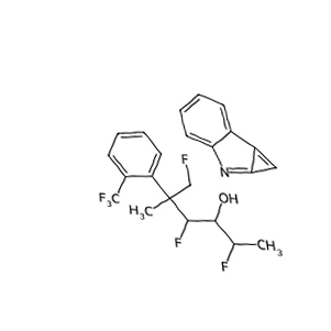 CC(F)C(O)C(F)C(C)(CF)c1ccccc1C(F)(F)F.c1ccc2c3cc-3nc2c1